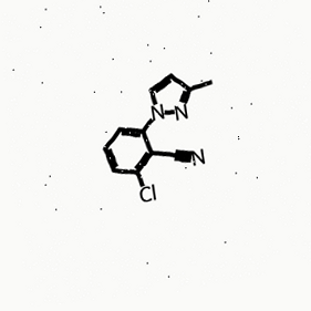 Cc1ccn(-c2cccc(Cl)c2C#N)n1